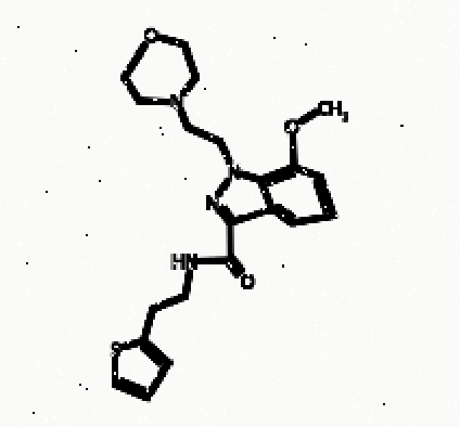 COc1cccc2c(C(=O)NCCc3cccs3)nn(CCN3CCOCC3)c12